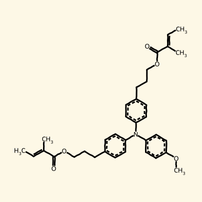 C/C=C(\C)C(=O)OCCCc1ccc(N(c2ccc(CCCOC(=O)/C(C)=C/C)cc2)c2ccc(OC)cc2)cc1